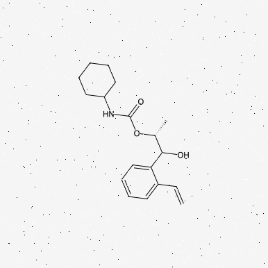 C=Cc1ccccc1C(O)[C@@H](C)OC(=O)NC1CCCCC1